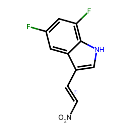 O=[N+]([O-])/C=C/c1c[nH]c2c(F)cc(F)cc12